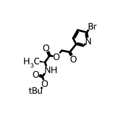 C[C@H](NC(=O)OC(C)(C)C)C(=O)OCC(=O)c1ccc(Br)nc1